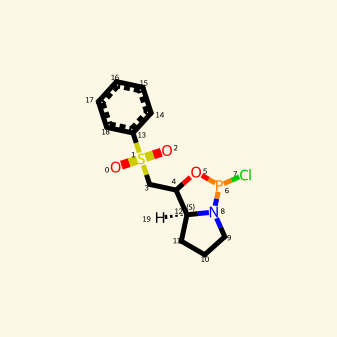 O=S(=O)(CC1OP(Cl)N2CCC[C@@H]12)c1ccccc1